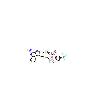 COCCc1nc2c(N)nc3ccccc3c2n1CCCCNS(=O)(=O)c1ccc(C(F)(F)F)cc1N=O